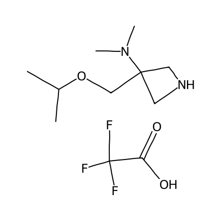 CC(C)OCC1(N(C)C)CNC1.O=C(O)C(F)(F)F